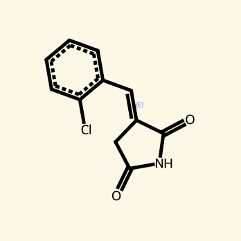 O=C1C/C(=C\c2ccccc2Cl)C(=O)N1